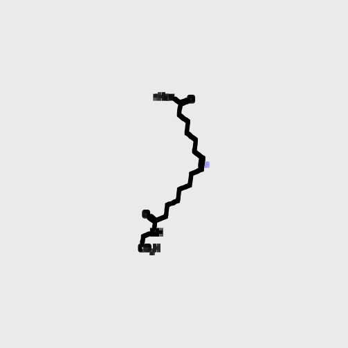 CCCCCCC(=O)CCCCC/C=C\CCCCCCC(=O)NCC(=O)O